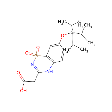 CC(C)[Si](Oc1ccc2c(c1)S(=O)(=O)N=C(CC(=O)O)N2)(C(C)C)C(C)C